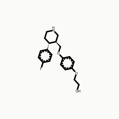 OCCOc1ccc(OC[C@@H]2CNCC[C@H]2c2ccc(F)cc2)cc1